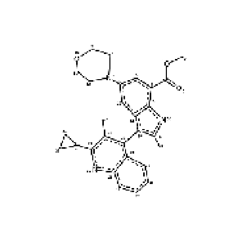 COC(=O)c1cc(N2CCOCC2)cc2c1nc(C)n2-c1c(C)c(C2CC2)nc2ccccc12